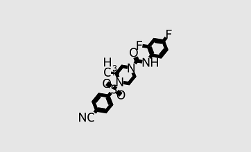 C[C@H]1CN(C(=O)Nc2ccc(F)cc2F)CCN1S(=O)(=O)c1ccc(C#N)cc1